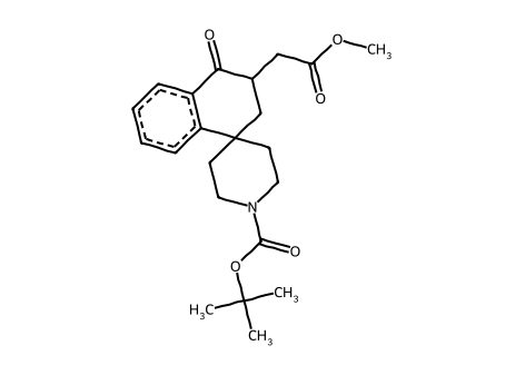 COC(=O)CC1CC2(CCN(C(=O)OC(C)(C)C)CC2)c2ccccc2C1=O